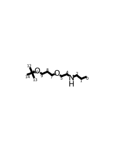 CCCNCCOCCCOC(C)(C)C